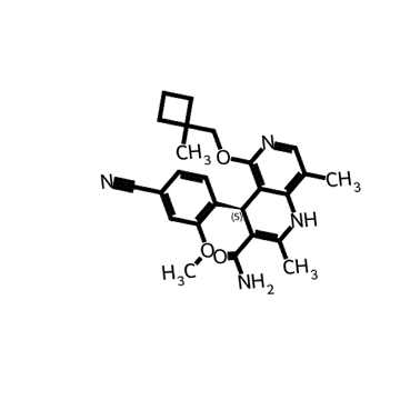 COc1cc(C#N)ccc1[C@@H]1C(C(N)=O)=C(C)Nc2c(C)cnc(OCC3(C)CCC3)c21